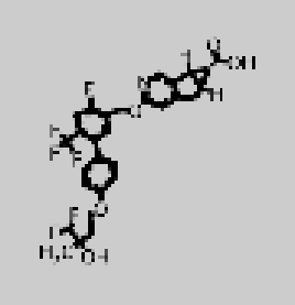 CC(O)(CCOc1ccc(-c2cc(COc3cc4c(cn3)[C@H]3[C@H]5C4[C@@]53C(=O)O)c(F)cc2C(F)(F)F)cc1)C(F)F